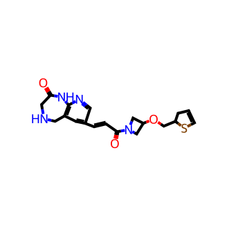 O=C1CNCc2cc(/C=C/C(=O)N3CC(OCC4CC=CS4)C3)cnc2N1